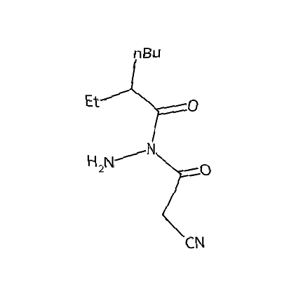 CCCCC(CC)C(=O)N(N)C(=O)CC#N